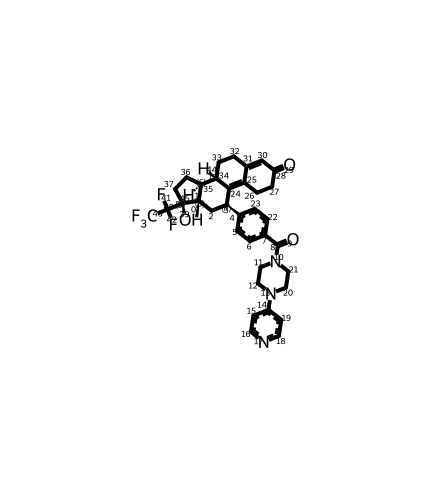 C[C@]12C[C@H](c3ccc(C(=O)N4CCN(c5ccncc5)CC4)cc3)C3=C4CCC(=O)C=C4CC[C@H]3[C@@H]1CC[C@@]2(O)C(F)(F)C(F)(F)F